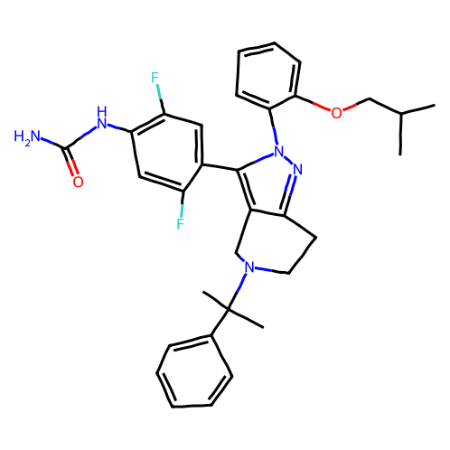 CC(C)COc1ccccc1-n1nc2c(c1-c1cc(F)c(NC(N)=O)cc1F)CN(C(C)(C)c1ccccc1)CC2